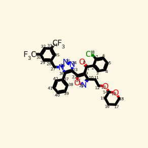 O=C(c1ccccc1Cl)c1c(CCOC2CCCCO2)noc1-c1nnn(Cc2cc(C(F)(F)F)cc(C(F)(F)F)c2)c1-c1ccccc1